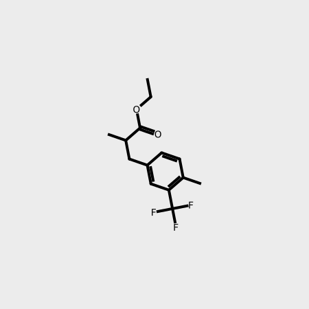 CCOC(=O)C(C)Cc1ccc(C)c(C(F)(F)F)c1